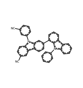 N#Cc1cccc(-n2c3ccc(C#N)cc3c3ccc(-c4cccc5c6ccccc6n(-c6ccccc6)c45)cc32)c1